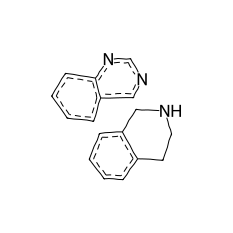 c1ccc2c(c1)CCNC2.c1ccc2ncncc2c1